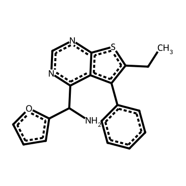 CCc1sc2ncnc(C(N)c3ccco3)c2c1-c1ccccc1